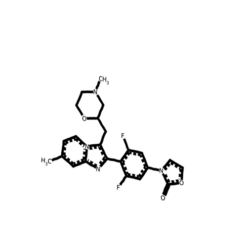 Cc1ccn2c(CC3CN(C)CCO3)c(-c3c(F)cc(-n4ccoc4=O)cc3F)nc2c1